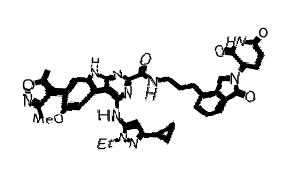 CCn1nc(C2CC2)cc1Nc1nc(C(=O)NCCCc2cccc3c2CN(C2CCC(=O)NC2=O)C3=O)nc2[nH]c3cc(-c4c(C)noc4C)c(OC)cc3c12